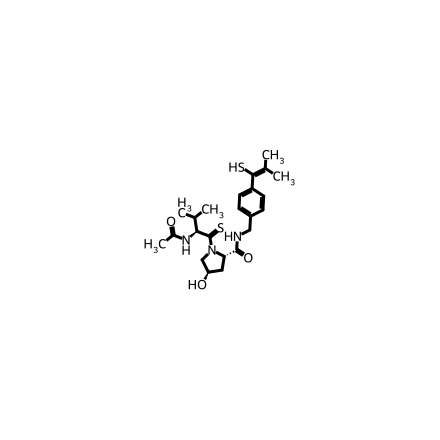 CC(=O)N[C@H](C(=S)N1C[C@H](O)C[C@H]1C(=O)NCc1ccc(C(S)=C(C)C)cc1)C(C)C